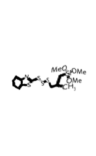 CO[Si](CC(C)CSSSc1nc2ccccc2s1)(OC)OC